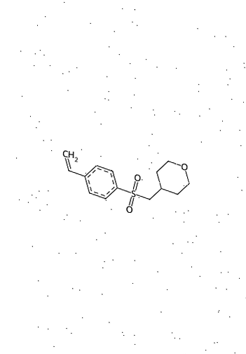 C=Cc1ccc(S(=O)(=O)CC2CCOCC2)cc1